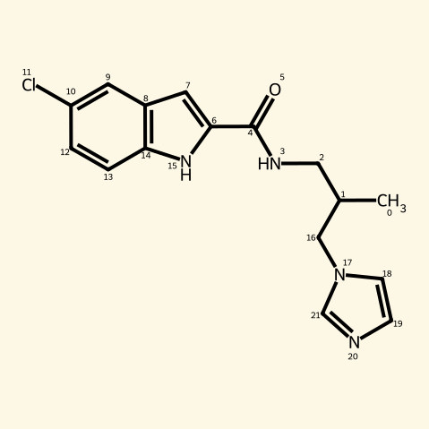 CC(CNC(=O)c1cc2cc(Cl)ccc2[nH]1)Cn1ccnc1